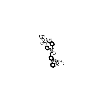 N=C(NC(=O)OCC(Cl)(Cl)Cl)c1cccc(CN(C(=O)Cc2ccc(-c3ccccc3S(N)(=O)=O)cc2)C2CCCC2)c1